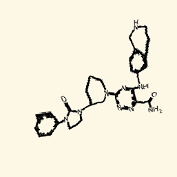 NC(=O)c1nnc(N2CCCC(N3CCN(c4ccccc4)C3=O)C2)nc1Nc1ccc2c(c1)CCNC2